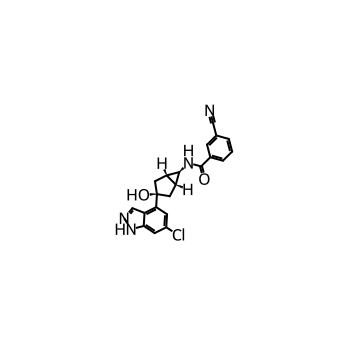 N#Cc1cccc(C(=O)N[C@H]2[C@@H]3C[C@](O)(c4cc(Cl)cc5[nH]ncc45)C[C@@H]32)c1